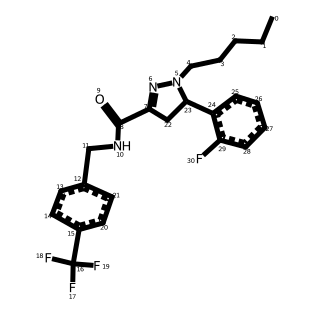 CCCCCN1N=C(C(=O)NCc2ccc(C(F)(F)F)cc2)CC1c1ccccc1F